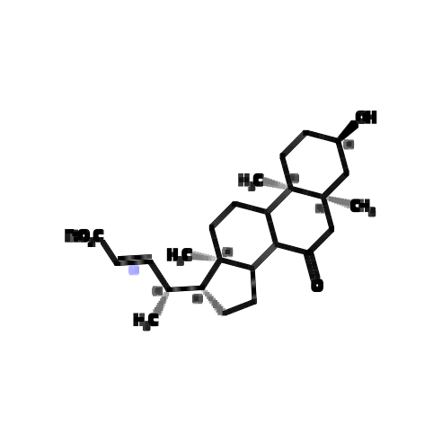 CCOC(=O)/C=C/[C@@H](C)[C@H]1CCC2C3C(=O)C[C@]4(C)C[C@H](O)CC[C@]4(C)C3CC[C@@]21C